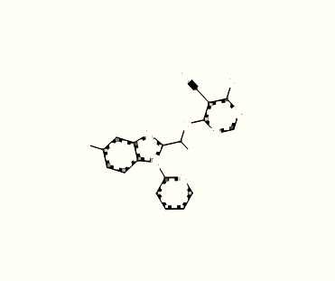 CC(Nc1ncnc(N)c1C#N)c1nc2cc(F)ccc2n1-c1ccccn1